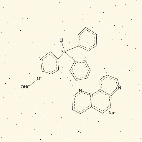 O=C[O-].[Cl][Sn]([c]1ccccc1)([c]1ccccc1)[c]1ccccc1.[Na+].c1cnc2c(c1)ccc1ncccc12